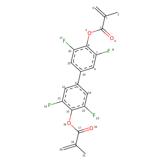 C=C(C)C(=O)Oc1c(F)cc(-c2cc(F)c(OC(=O)C(=C)C)c(F)c2)cc1F